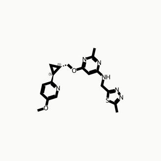 COc1ccc([C@H]2C[C@@H]2COc2cc(NCc3nnc(C)s3)nc(C)n2)nc1